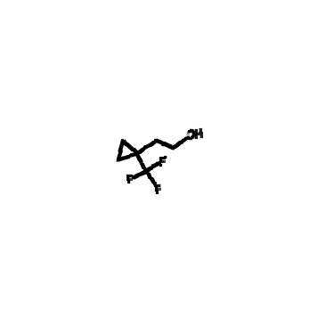 OCCC1(C(F)(F)F)CC1